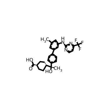 Cc1cc(Nc2nccc(C(F)(F)F)n2)cc(-c2ccc([C@](C)(O)[C@H]3CC[C@H](C(=O)O)CC3)cc2)c1